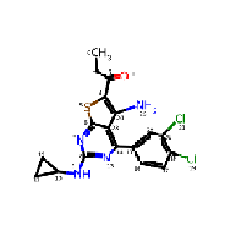 CCC(=O)c1sc2nc(NC3CC3)nc(-c3ccc(Cl)c(Cl)c3)c2c1N